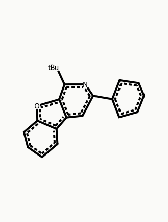 CC(C)(C)c1nc(-c2ccccc2)cc2c1oc1ccccc12